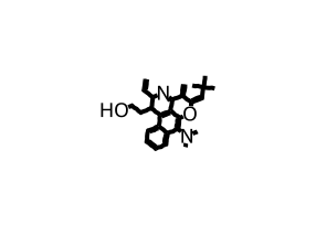 C=CC1N=C2C(=C)/C(=C\C(C)(C)C)Oc3c2c(c2ccccc2c3N(C)C)C1CCO